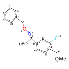 CCC/C(=N\OCc1ccccc1)c1ccc(COC)c(F)c1